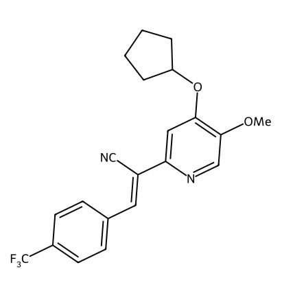 COc1cnc(/C(C#N)=C/c2ccc(C(F)(F)F)cc2)cc1OC1CCCC1